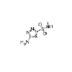 CNS(=O)(=O)c1nnc(N)s1